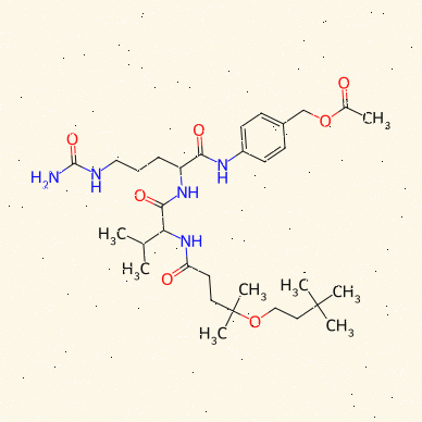 CC(=O)OCc1ccc(NC(=O)C(CCCNC(N)=O)NC(=O)C(NC(=O)CCC(C)(C)OCCC(C)(C)C)C(C)C)cc1